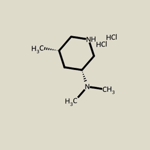 C[C@@H]1CNC[C@H](N(C)C)C1.Cl.Cl